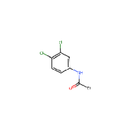 [CH2]CC(=O)Nc1ccc(Cl)c(Cl)c1